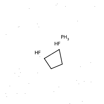 C1CCC1.F.F.P